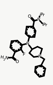 CC(C)N(C(=O)c1ccc(N(c2cccc(C(N)=O)c2F)C2CCN(Cc3ccccc3)CC2)cc1)C(C)C